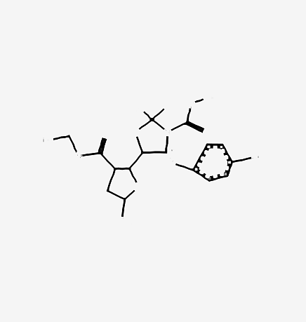 CCC(C)CNC(=O)C1CC(C)OC1C1OC(C)(C)N(C(=O)OC(C)(C)C)[C@@H]1Cc1ccc(O)cc1